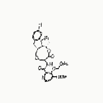 COc1ccnc(C(=O)N[C@H]2COC[C@H](Cc3ccc(Cl)cc3)[C@@H](CC(C)C)[C@H](C)OC2=O)c1OCOC(C)=O